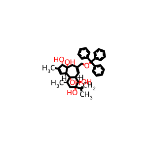 C=C(C)C1(O)C[C@@H](C)[C@]2(O)[C@@H]3C=C(C)[C@H](O)[C@@]3(O)CC(COC(c3ccccc3)(c3ccccc3)c3ccccc3)=C[C@H]2C1O